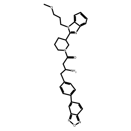 COCCCn1c(C2CCCN(C(=O)CC(N)Cc3ccc(-c4ccc5nonc5c4)cc3)C2)nc2ccccc21